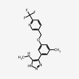 CNc1[nH]nnc1-c1cc(C)cc(OCc2ccc(C(F)(F)F)nc2)c1